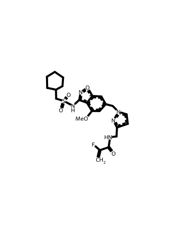 C=C(F)C(=O)NCc1ccn(Cc2cc(OC)c3c(NS(=O)(=O)CC4CCCCC4)noc3c2)n1